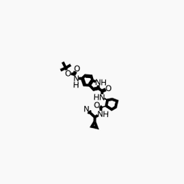 CC(C)(C)OC(=O)Nc1ccc2[nH]c(C(=O)N[C@H]3CCCC[C@H]3C(=O)NC(C#N)C3CC3)cc2c1